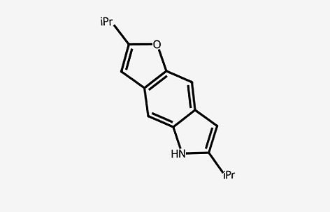 CC(C)c1cc2cc3oc(C(C)C)cc3cc2[nH]1